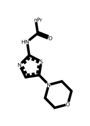 CCCC(=O)Nc1ncc(N2CCOCC2)s1